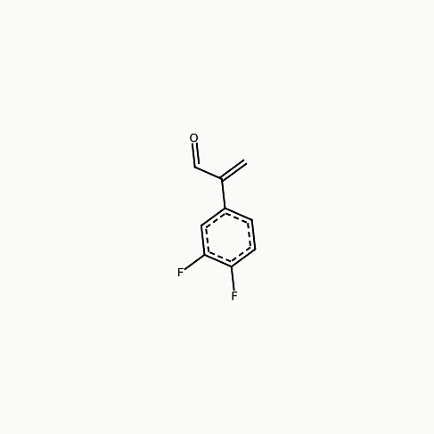 C=C(C=O)c1ccc(F)c(F)c1